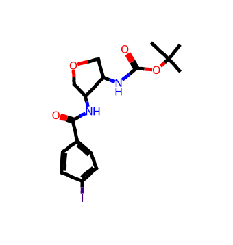 CC(C)(C)OC(=O)NC1COCC1NC(=O)c1ccc(I)cc1